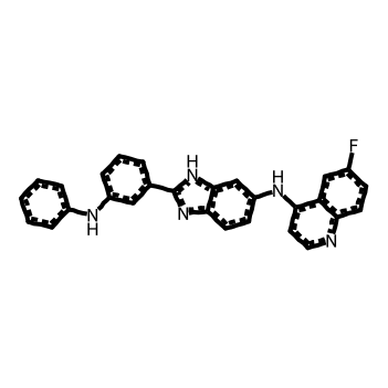 Fc1ccc2nccc(Nc3ccc4nc(-c5cccc(Nc6ccccc6)c5)[nH]c4c3)c2c1